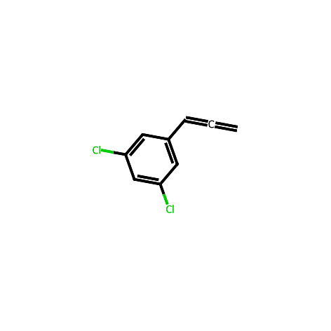 C=C=Cc1cc(Cl)cc(Cl)c1